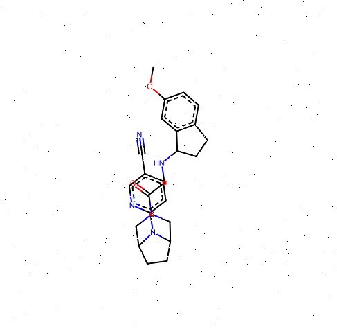 COc1ccc2c(c1)C(NCC(=O)N1CC3CCC(C1)N3c1ccc(C#N)cn1)CC2